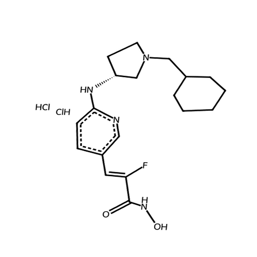 Cl.Cl.O=C(NO)/C(F)=C/c1ccc(N[C@@H]2CCN(CC3CCCCC3)C2)nc1